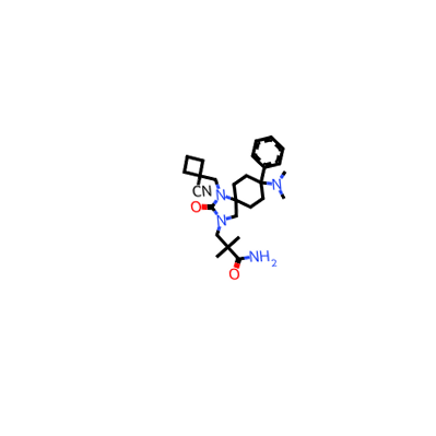 CN(C)C1(c2ccccc2)CCC2(CC1)CN(CC(C)(C)C(N)=O)C(=O)N2CC1(C#N)CCC1